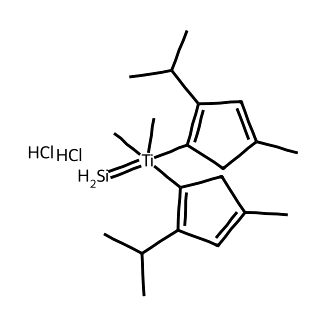 CC1=CC(C(C)C)=[C]([Ti]([CH3])([CH3])(=[SiH2])[C]2=C(C(C)C)C=C(C)C2)C1.Cl.Cl